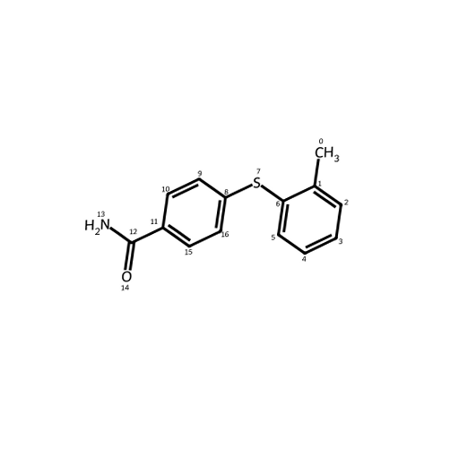 Cc1ccccc1Sc1ccc(C(N)=O)cc1